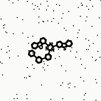 c1ccc(-c2cccc(-c3cccc(-c4nc(-c5ccc6c(c5)sc5ccccc56)nc(-c5cccc6c5oc5ccccc56)n4)c3)c2)cc1